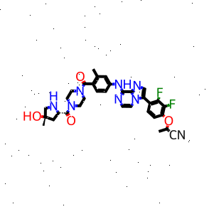 Cc1cc(Nc2nccn3c(-c4ccc(OC(C)C#N)c(F)c4F)cnc23)ccc1C(=O)N1CCN(C(=O)[C@@H]2C[C@](C)(O)CN2)CC1